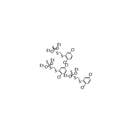 CCOP(=S)(OCC)SCSc1cc(Cl)ccc1Cl.CCOP(=S)(OCC)SCSc1cc(Cl)ccc1Cl.CCOP(=S)(OCC)SCSc1cc(Cl)ccc1Cl